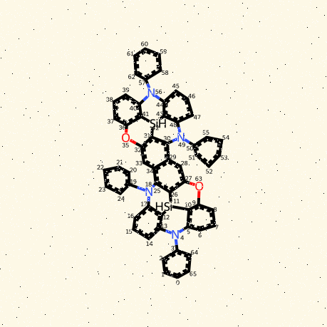 c1ccc(N2c3cccc4c3[SiH]3c5c2cccc5N(c2ccccc2)c2c3c(cc3c5c6c(cc23)Oc2cccc3c2[SiH]6c2c(cccc2N5c2ccccc2)N3c2ccccc2)O4)cc1